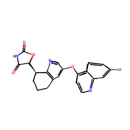 O=C1NC(=O)C([C@@H]2CCCc3cc(Oc4ccnc5cc(Cl)ccc45)cnc32)O1